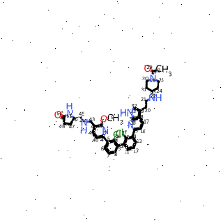 COc1nc(-c2cccc(-c3cccc(-c4ccc5c(CCNC6CCN(C(C)=O)CC6)c[nH]c5n4)c3Cl)c2Cl)ccc1CNC[C@@H]1CCC(=O)N1